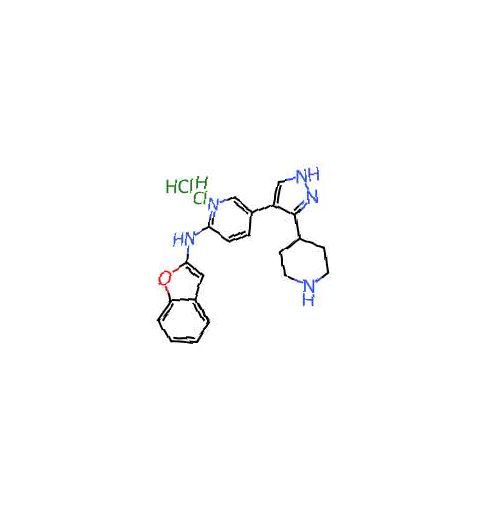 Cl.Cl.c1ccc2oc(Nc3ccc(-c4c[nH]nc4C4CCNCC4)cn3)cc2c1